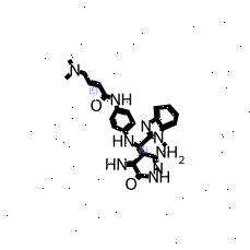 CN(C)C/C=C/C(=O)Nc1ccc(N/C(=C2\C(=N)C(=O)NN=C2N)c2nc3ccccc3n2C)cc1